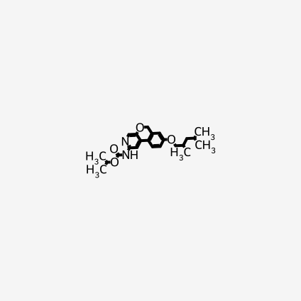 CC(C)CC(C)COc1ccc2c(c1)COc1cnc(NC(=O)OC(C)C)cc1-2